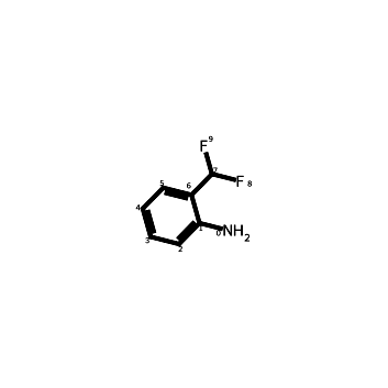 Nc1ccccc1C(F)F